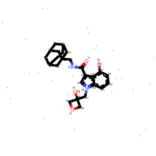 O=C(NCC12CC3CC(CC(C3)C1)C2)c1cn(CC2(O)COC2)c2cccc(Br)c12